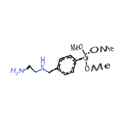 CO[Si](OC)(OC)c1ccc(CNCCN)cc1